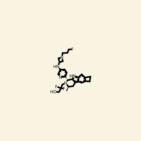 C[C@@H]1Cc2c([nH]c3cc4c(cc23)CC4)[C@@H](c2ccc(NC3CN(CCCF)C3)cn2)N1CC(F)(F)CO